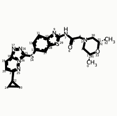 C[C@@H]1CN(CC(=O)Nc2nc3ccc(Sc4nnc5ccc(C6CC6)nn45)cc3s2)C[C@H](C)O1